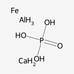 O=P(O)(O)O.[AlH3].[CaH2].[Fe]